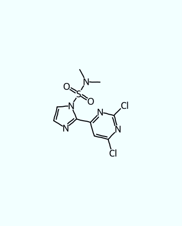 CN(C)S(=O)(=O)n1ccnc1-c1cc(Cl)nc(Cl)n1